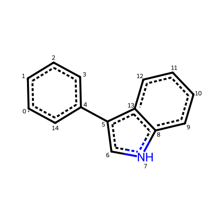 [c]1cccc(-c2c[nH]c3ccccc23)c1